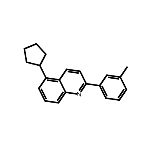 Cc1cccc(-c2ccc3c(C4CCCC4)cccc3n2)c1